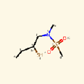 CC[C@H](S)CN(C)S(C)(=O)=O